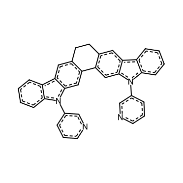 c1cncc(-n2c3ccccc3c3cc4c(cc32)-c2cc3c(cc2CC4)c2ccccc2n3-c2cccnc2)c1